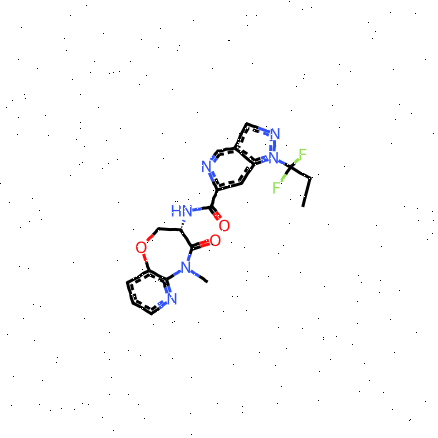 CCC(F)(F)n1ncc2cnc(C(=O)N[C@H]3COc4cccnc4N(C)C3=O)cc21